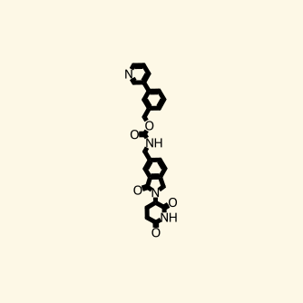 O=C1CCC(N2Cc3ccc(CNC(=O)OCc4cccc(-c5cccnc5)c4)cc3C2=O)C(=O)N1